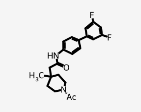 CC(=O)N1CCC(C)(CC(=O)Nc2ccc(-c3cc(F)cc(F)c3)cc2)CC1